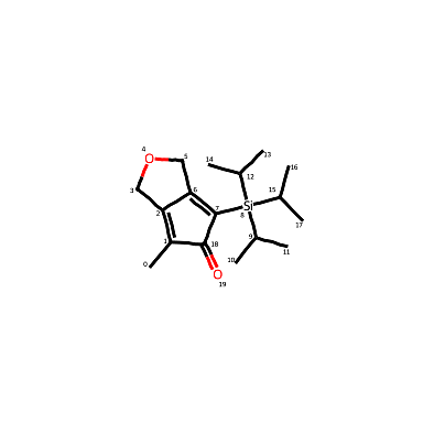 CC1=C2COCC2=C([Si](C(C)C)(C(C)C)C(C)C)C1=O